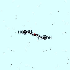 O=C(O)/C=C\C(=O)NCCCOCC12CC(COCCCNC(=O)/C=C\C(=O)O)(C1)C2